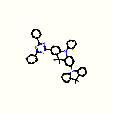 CC1(C)c2ccccc2N(c2ccc3c(c2)C(C)(C)c2cc(-c4nc(-c5ccccc5)nc(-c5ccccc5)n4)ccc2N3c2ccccc2)c2ccccc21